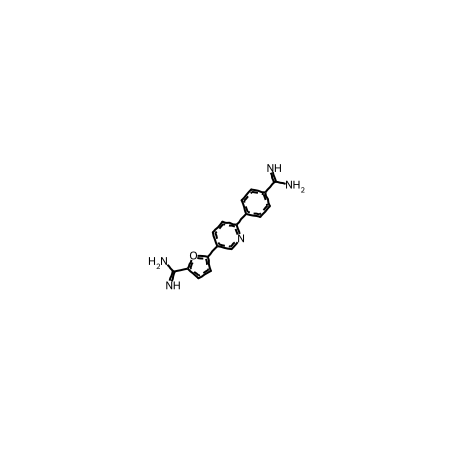 N=C(N)c1ccc(-c2ccc(-c3ccc(C(=N)N)o3)cn2)cc1